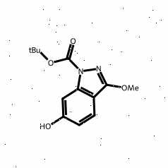 COc1nn(C(=O)OC(C)(C)C)c2cc(O)ccc12